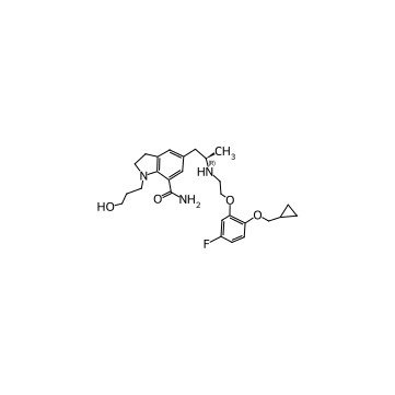 C[C@H](Cc1cc2c(c(C(N)=O)c1)N(CCCO)CC2)NCCOc1cc(F)ccc1OCC1CC1